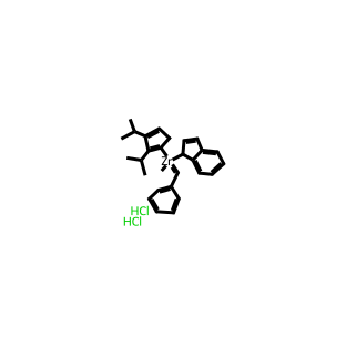 CC(C)C1=CC[C]([Zr]([CH3])(=[CH]c2ccccc2)[CH]2C=Cc3ccccc32)=C1C(C)C.Cl.Cl